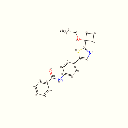 O=C(O)COC1(c2ncc(-c3ccc(NC(=O)c4ccccc4)cc3)s2)CCC1